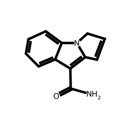 NC(=O)c1c2n(c3ccccc13)CC=C2